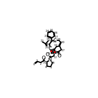 C=CCC(=O)[C@@H]1CCCN1C(=O)CN1CCC[C@@](CC(=C)C)(c2ccccc2)CC/C=C(\CC2CCC2)CC1=O